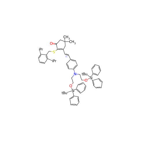 CC(C)c1cccc(C(C)C)c1CSC1=C(/C=C/c2ccc(N(CCO[Si](c3ccccc3)(c3ccccc3)C(C)(C)C)CCO[Si](c3ccccc3)(c3ccccc3)C(C)(C)C)cc2)CC(C)(C)CC1=O